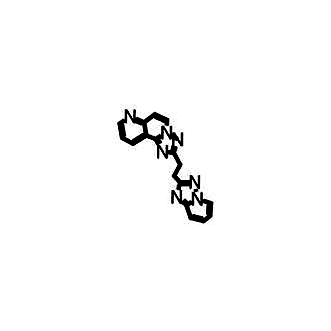 c1cnc2ccn3nc(CCc4nc5ccccn5n4)nc3c2c1